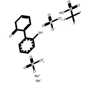 O=C1CC=CC=C1c1ccccc1S.O=S(=O)(O)C(F)(F)F.O=S(=O)([O-])C(F)(F)F.O=S(=O)([O-])C(F)(F)F.[Na+].[Na+]